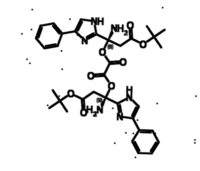 CC(C)(C)OC(=O)C[C@](N)(OC(=O)C(=O)O[C@@](N)(CC(=O)OC(C)(C)C)c1nc(-c2ccccc2)c[nH]1)c1nc(-c2ccccc2)c[nH]1